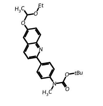 CCOC(C)Oc1ccc2nc(-c3ccc(N(C)C(=O)OC(C)(C)C)cc3)ccc2c1